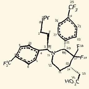 CC(C)CC[C@H](c1ccc(C(F)(F)F)cc1)N1CC[C@@H](CC(=O)O)C(F)(F)[C@H]1c1ccc(C(F)(F)F)cc1